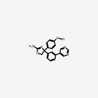 CC(C)Oc1ccc(C2(c3cccc(-c4cncnc4)c3)COC(N)=N2)cc1